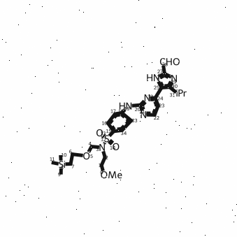 COCCN(COCC[Si](C)(C)C)S(=O)(=O)c1ccc(Nc2nccc(-c3[nH]c(C=O)nc3C(C)C)n2)cc1